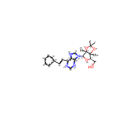 CC1(C)O[C@@H]2[C@H](O1)[C@@H](CO)O[C@H]2n1cnc2c(/C=C/c3ccccc3)ncnc21